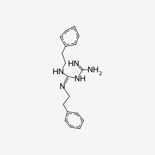 N=C(N)NC(=NCCc1ccccc1)NCCc1ccccc1